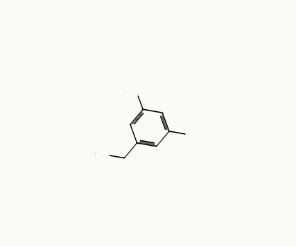 CC(C)(C)c1cc(CO)cc(C(C)(C)C)c1